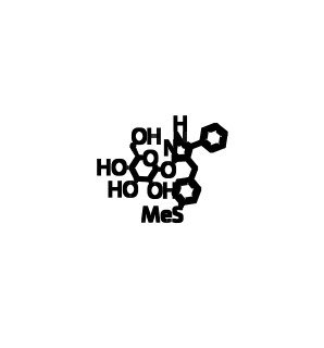 CSc1ccc(Cc2c(O[C@@H]3O[C@H](CO)[C@@H](O)[C@H](O)[C@H]3O)n[nH]c2-c2ccccc2)cc1